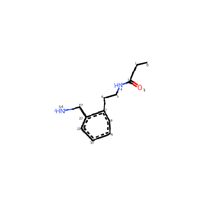 CCC(=O)NCCc1ccccc1C[NH]